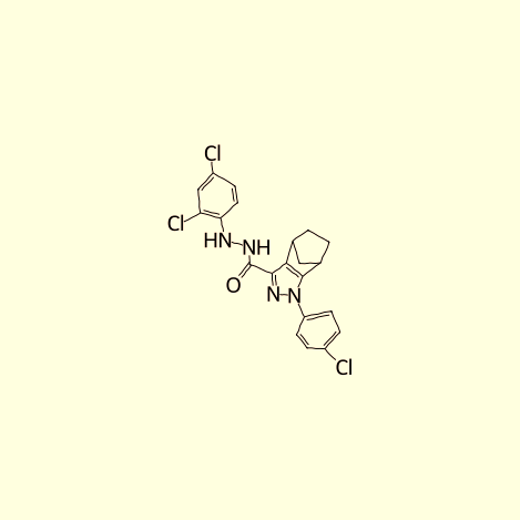 O=C(NNc1ccc(Cl)cc1Cl)c1nn(-c2ccc(Cl)cc2)c2c1C1CCC2C1